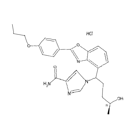 CCCOc1ccc(-c2nc3c(C(CC[C@H](C)O)n4cnc(C(N)=O)c4)cccc3o2)cc1.Cl